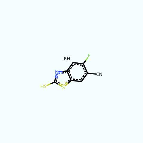 N#Cc1cc2sc(S)nc2cc1F.[KH]